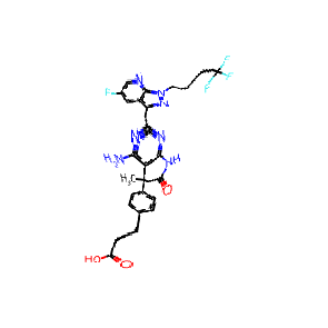 CC1(c2ccc(CCC(=O)O)cc2)C(=O)Nc2nc(-c3nn(CCCC(F)(F)F)c4ncc(F)cc34)nc(N)c21